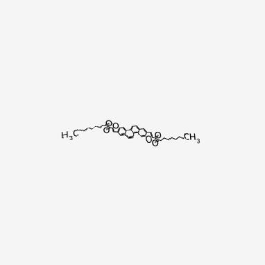 CCCCCCCCS(=O)(=O)c1cc2cc3ccc4c5cc6oc(S(=O)(=O)CCCCCCCC)cc6cc5ccc4c3cc2o1